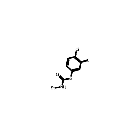 CCNC(=O)Sc1ccc(Cl)c(Cl)c1